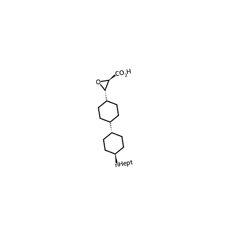 CCCCCCC[C@H]1CC[C@H](C2CCC([C@@H]3O[C@H]3C(=O)O)CC2)CC1